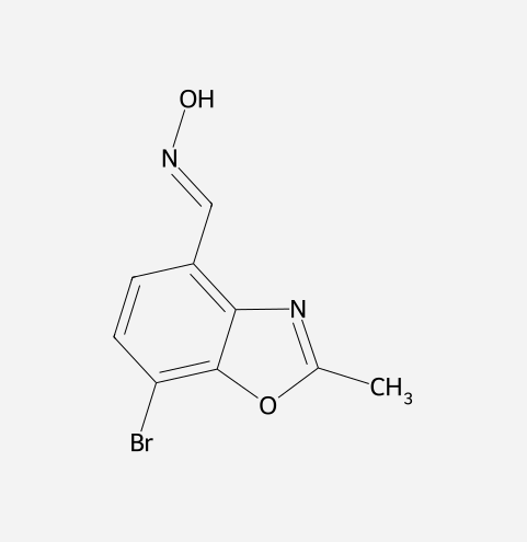 Cc1nc2c(/C=N/O)ccc(Br)c2o1